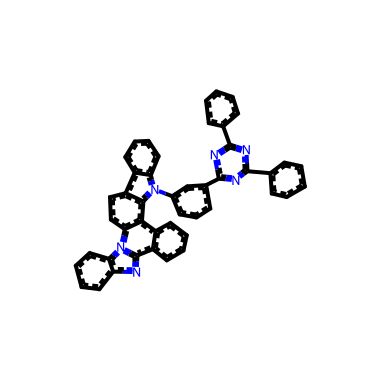 c1ccc(-c2nc(-c3ccccc3)nc(-c3cccc(-n4c5ccccc5c5ccc6c(c7ccccc7c7nc8ccccc8n67)c54)c3)n2)cc1